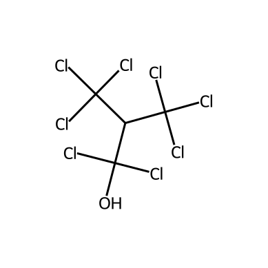 OC(Cl)(Cl)C(C(Cl)(Cl)Cl)C(Cl)(Cl)Cl